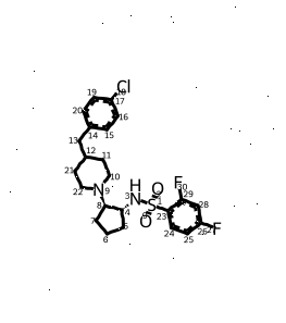 O=S(=O)(N[C@@H]1CCC[C@H]1N1CCC(Cc2ccc(Cl)cc2)CC1)c1ccc(F)cc1F